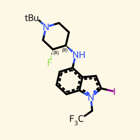 CC(C)(C)N1CC[C@@H](Nc2cccc3c2cc(I)n3CC(F)(F)F)[C@H](F)C1